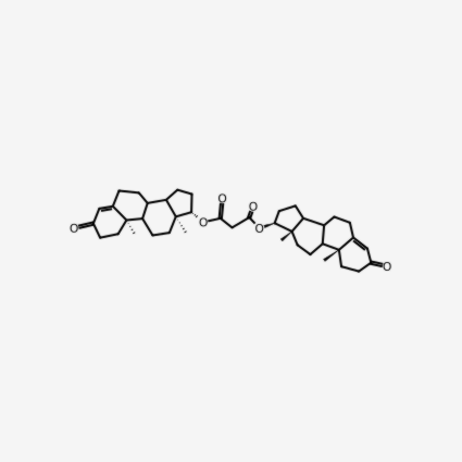 C[C@]12CCC(=O)C=C1CCC1C2CC[C@@]2(C)C1CC[C@@H]2OC(=O)CC(=O)O[C@H]1CCC2C3CCC4=CC(=O)CC[C@]4(C)C3CC[C@@]21C